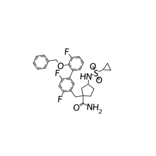 NC(=O)C1(Cc2cc(-c3cccc(F)c3OCc3ccccc3)c(F)cc2F)CCC(NS(=O)(=O)C2CC2)C1